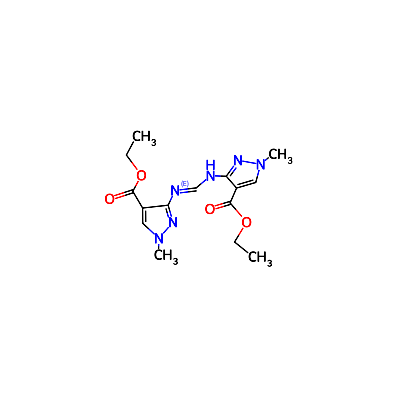 CCOC(=O)c1cn(C)nc1/N=C/Nc1nn(C)cc1C(=O)OCC